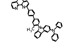 Cc1cc(-c2ccc(-c3ccc4ccc5cccnc5c4n3)cc2)ccc1-n1c2ccccc2c2cc(N(c3ccccc3)c3ccccc3)ccc21